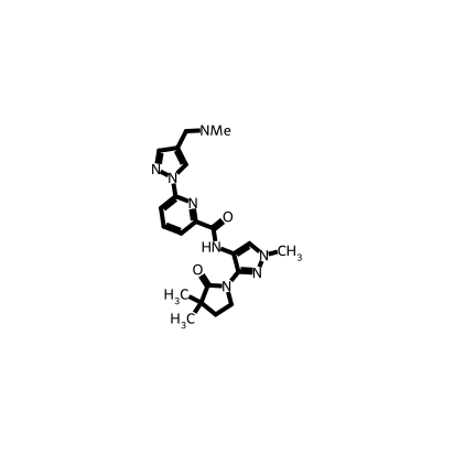 CNCc1cnn(-c2cccc(C(=O)Nc3cn(C)nc3N3CCC(C)(C)C3=O)n2)c1